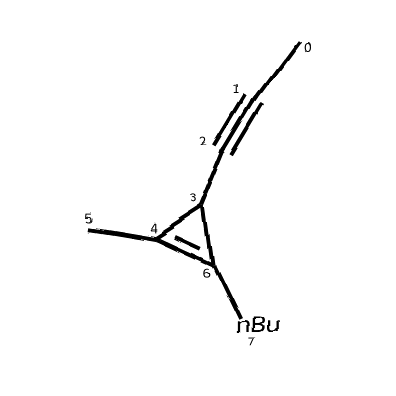 CC#CC1C(C)=C1CCCC